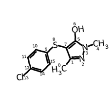 Cc1nn(C)c(O)c1Sc1ccc(Cl)cc1